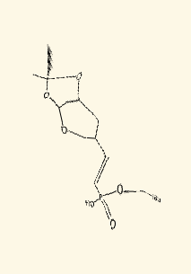 CCC(C)OP(=O)(O)C=CC1CC2OC(C)(C)OC2O1